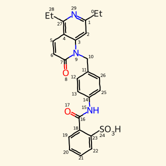 CCc1cc2c(ccc(=O)n2Cc2ccc(NC(=O)c3ccccc3S(=O)(=O)O)cc2)c(CC)n1